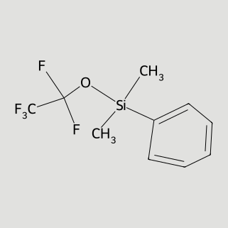 C[Si](C)(OC(F)(F)C(F)(F)F)c1ccccc1